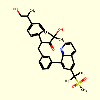 CC(CO)c1ccc(C(Cc2cccc(-c3cc(C(C)(C)S(C)(=O)=O)cc4cccnc34)c2)C(=O)C(C)(C)O)cc1